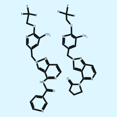 Cc1cc(Cn2cc3c(N4CCCC4=O)nccc3n2)cnc1OCC(F)(F)F.Cc1cc(Cn2cc3c(NC(=O)c4cccnc4)nccc3n2)cnc1OCC(F)(F)F